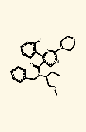 CCC(COC)N(Cc1ccccc1)C(=O)c1cnc(N2CCSCC2)nc1-c1ccccc1F